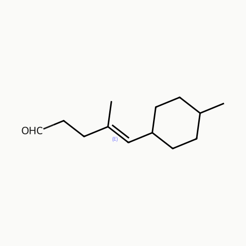 C/C(=C\C1CCC(C)CC1)CCC=O